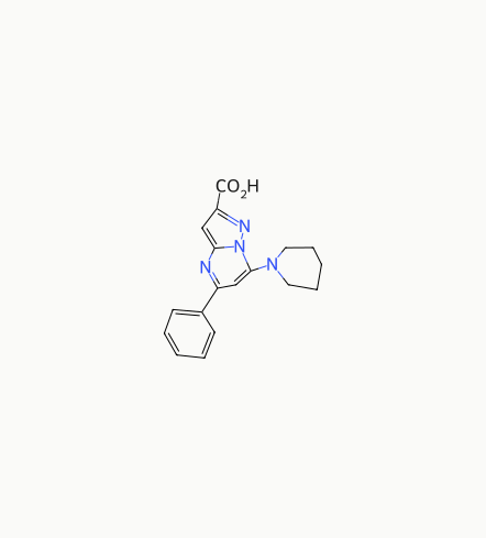 O=C(O)c1cc2nc(-c3ccccc3)cc(N3CCCCC3)n2n1